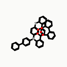 c1ccc(-c2ccc(N(c3ccc4c(c3)C3(c5ccccc5S4)c4ccccc4-c4ccccc4-c4ccccc43)c3ccccc3-c3ccccc3)cc2)cc1